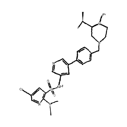 CC(C)N1CCN(Cc2ccc(-c3cncc(NS(=O)(=O)c4cc(Cl)cnc4N(C)C)c3)cc2)CC1[C@H](C)I